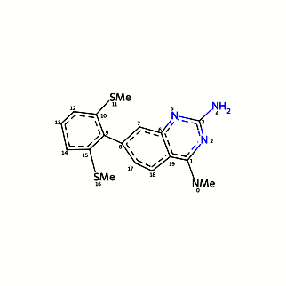 CNc1nc(N)nc2cc(-c3c(SC)cccc3SC)ccc12